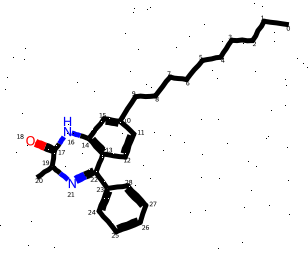 CCCCCCCCCCc1ccc2c(c1)NC(=O)C(C)N=C2c1ccccc1